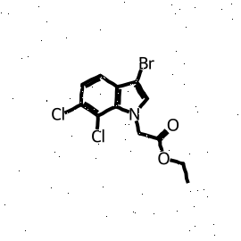 CCOC(=O)Cn1cc(Br)c2ccc(Cl)c(Cl)c21